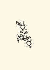 COP(=O)(O)O[C@@](C)(CS(=O)(=O)c1ccc(F)cc1)C(=O)Nc1ccc(C)c(C(F)(F)F)c1